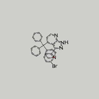 Brc1cccc(-c2n[nH]c3nccc(C(c4ccccc4)(c4ccccc4)c4ccccc4)c23)n1